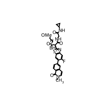 B[SH](=O)(CCOC)C(C(=O)NCC(=O)NC1CC1)c1nc2cc(F)c(-c3ccc4c(=O)n(C)ccc4c3)cc2s1